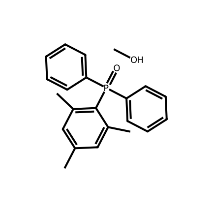 CO.Cc1cc(C)c(P(=O)(c2ccccc2)c2ccccc2)c(C)c1